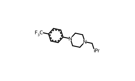 CC(C)CN1CCN(c2ccc(C(F)(F)F)cc2)CC1